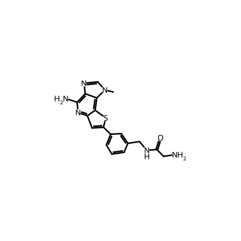 Cn1cnc2c(N)nc3cc(-c4cccc(CNC(=O)CN)c4)sc3c21